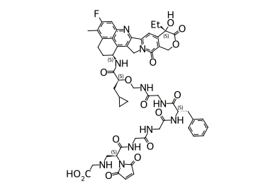 CC[C@@]1(O)C(=O)OCc2c1cc1n(c2=O)Cc2c-1nc1cc(F)c(C)c3c1c2[C@@H](NC(=O)[C@H](CC1CC1)OCNC(=O)CNC(=O)[C@H](Cc1ccccc1)NC(=O)CNC(=O)CNC(=O)[C@H](CNCC(=O)O)N1C(=O)C=CC1=O)CC3